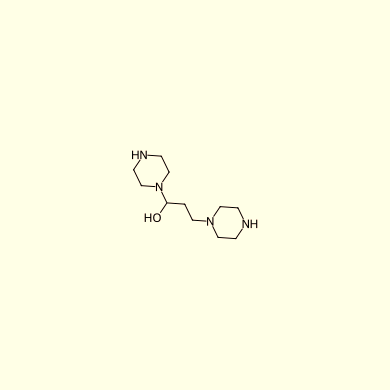 OC(CCN1CCNCC1)N1CCNCC1